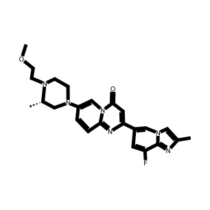 COCCN1CCN(c2ccc3nc(-c4cc(F)c5nc(C)cn5c4)cc(=O)n3c2)C[C@@H]1C